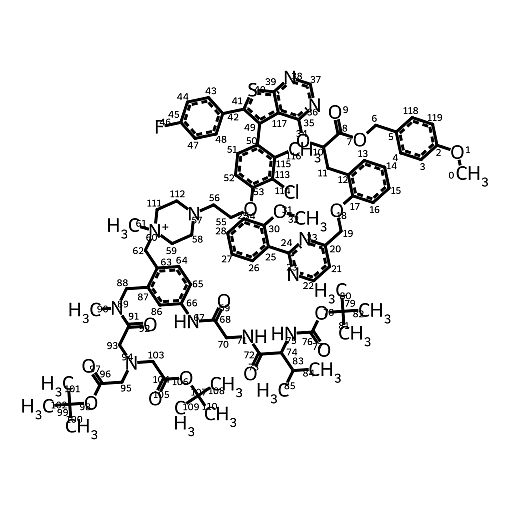 COc1ccc(COC(=O)C(Cc2ccccc2OCc2ccnc(-c3ccccc3OC)n2)Oc2ncnc3sc(-c4ccc(F)cc4)c(-c4ccc(OCCN5CC[N+](C)(Cc6ccc(NC(=O)CNC(=O)C(NC(=O)OC(C)(C)C)C(C)C)cc6CN(C)C(=O)CN(CC(=O)OC(C)(C)C)CC(=O)OC(C)(C)C)CC5)c(Cl)c4C)c23)cc1